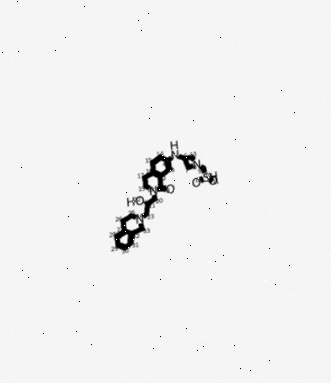 O=C1c2cc(NC3CN(C[SH](=O)=O)C3)ccc2CCN1C[C@@H](O)CN1CCc2ccccc2C1